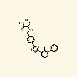 Cc1c(-c2ccccc2)cccc1-c1nnc(-c2ccc(CNC(CO)C(=O)O)cc2)o1